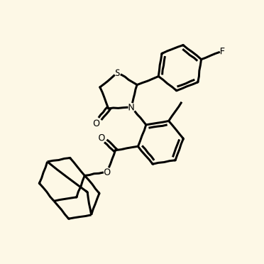 Cc1cccc(C(=O)OC23CC4CC(CC(C4)C2)C3)c1N1C(=O)CSC1c1ccc(F)cc1